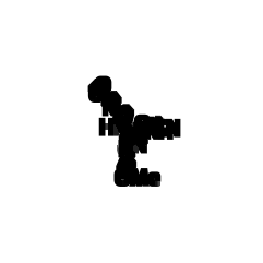 COc1ccc(CN(C)c2cc(Nc3cccc(-c4ccc(C5OCCO5)cn4)c3)nn3c(C(=O)NC(C)(C)C#N)cnc23)cc1